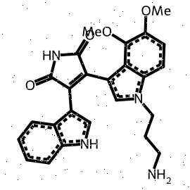 COc1ccc2c(c(C3=C(c4c[nH]c5ccccc45)C(=O)NC3=O)cn2CCCN)c1OC